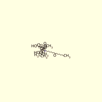 CCCCCCCC(=O)CCCCCC/C=C/[C@H](C(=O)NC(Cc1ccc(O)cc1)C(=O)OC)[C@](O)(CCO)C(=O)OC(C)(C)C